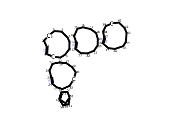 C1=C/CCCCCCCCCC/1.C1=C/CCCCCCCCCC/1.C1=C/CCCCCCCCCC/1.C1=C/CCCCCCCCCC/1.C1=C2CCC(C1)C2